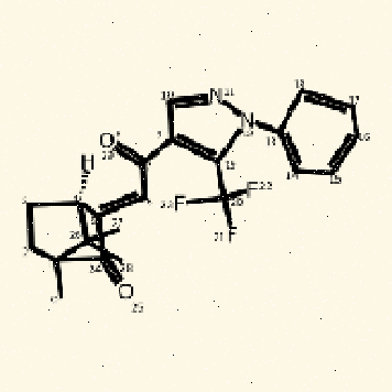 CC12CC[C@@H](/C(=C\C(=O)c3cnn(-c4ccccc4)c3C(F)(F)F)C1=O)C2(C)C